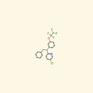 FC(F)C(F)(F)Oc1cccc(C(Cc2ccccc2)c2ccc(Cl)cn2)c1